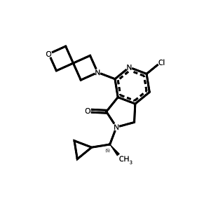 C[C@@H](C1CC1)N1Cc2cc(Cl)nc(N3CC4(COC4)C3)c2C1=O